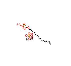 CCCCCCCCCCCCOC(=O)CS(=O)(=O)O.O=S(=O)(O)O.[NaH]